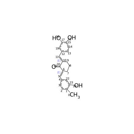 Cc1ccc(/C=C2\CCC/C(=C\c3ccc(O)c(O)c3)C2=O)cc1O